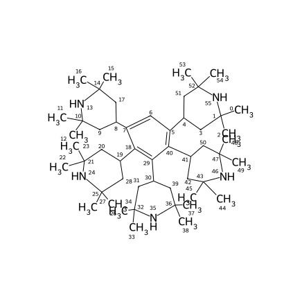 CC1(C)CC(c2cc(C3CC(C)(C)NC(C)(C)C3)c(C3CC(C)(C)NC(C)(C)C3)c(C3CC(C)(C)NC(C)(C)C3)c2C2CC(C)(C)NC(C)(C)C2)CC(C)(C)N1